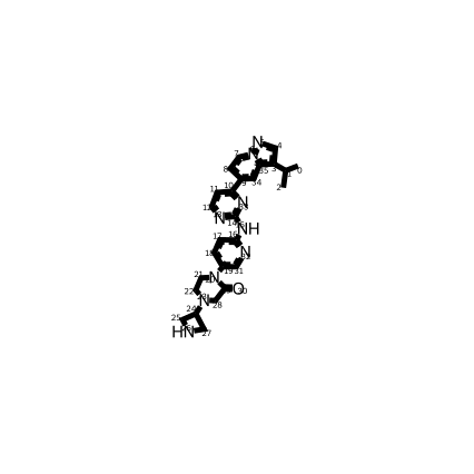 CC(C)c1cnn2ccc(-c3ccnc(Nc4ccc(N5CCN(C6CNC6)CC5=O)cn4)n3)cc12